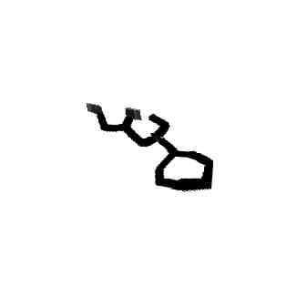 CCN(CC(O)CO)C1CCCCCC1